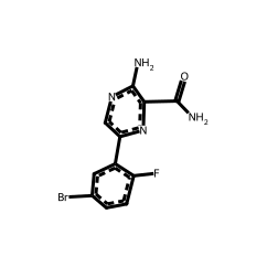 NC(=O)c1nc(-c2cc(Br)ccc2F)cnc1N